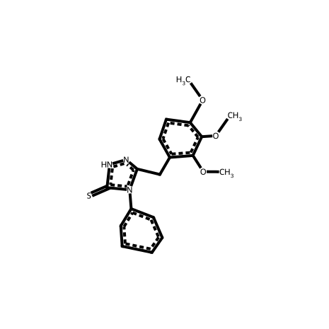 COc1ccc(Cc2n[nH]c(=S)n2-c2ccccc2)c(OC)c1OC